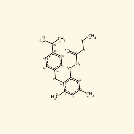 CCCC(=O)OOc1cc(C)cc(C)c1Cc1ccc(C(C)C)cc1